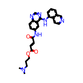 CN(C)CCCOC(=O)C=CC(=O)Nc1ccc2ncnc(Nc3cccc4cnccc34)c2c1